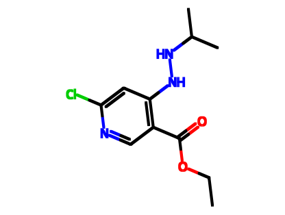 CCOC(=O)c1cnc(Cl)cc1NNC(C)C